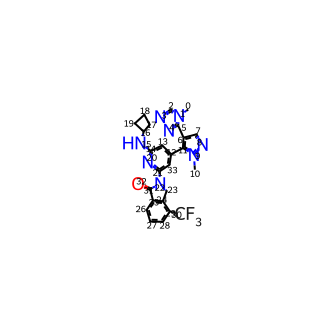 Cn1cnnc1-c1cnn(C)c1-c1cc(NC2CCC2)nc(N2Cc3c(cccc3C(F)(F)F)C2=O)c1